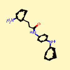 Nc1cccc(CCC(=O)Nc2ccc(Nc3ccccc3)cc2)c1